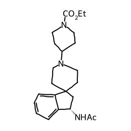 CCOC(=O)N1CCC(N2CCC3(CC2)C[C@H](NC(C)=O)c2ccccc23)CC1